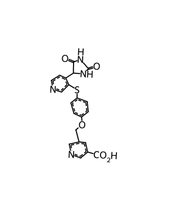 O=C1NC(=O)C(c2ccncc2Sc2ccc(OCc3cncc(C(=O)O)c3)cc2)N1